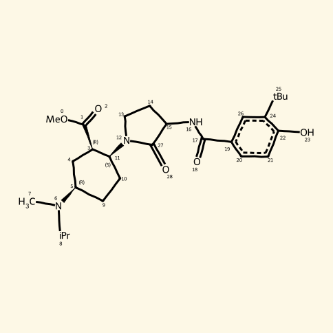 COC(=O)[C@@H]1C[C@H](N(C)C(C)C)CC[C@@H]1N1CCC(NC(=O)c2ccc(O)c(C(C)(C)C)c2)C1=O